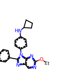 CCOc1ncc2nc(-c3ccccc3)n(-c3ccc(NC4CCC4)cc3)c2n1